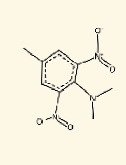 Cc1cc([N+](=O)[O-])c(N(C)C)c([N+](=O)[O-])c1